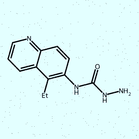 CCc1c(NC(=O)NN)ccc2ncccc12